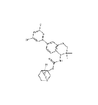 CC1(C)COc2cc(-c3cc(Cl)cc(Cl)c3)ccc2C1NC(=O)O[C@H]1CN2CCC1CC2